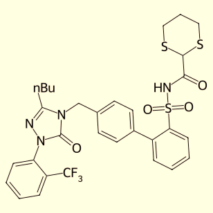 CCCCc1nn(-c2ccccc2C(F)(F)F)c(=O)n1Cc1ccc(-c2ccccc2S(=O)(=O)NC(=O)C2SCCCS2)cc1